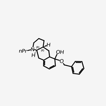 CCCN1CCC[C@@H]2CC3C(=CC=CC3(O)OCc3ccccc3)C[C@H]21